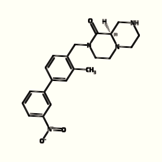 Cc1cc(-c2cccc([N+](=O)[O-])c2)ccc1CN1CCN2CCNC[C@@H]2C1=O